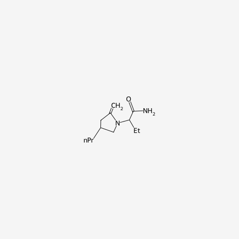 C=C1CC(CCC)CN1C(CC)C(N)=O